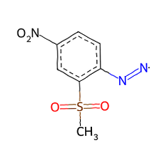 CS(=O)(=O)c1cc([N+](=O)[O-])ccc1N=[N]